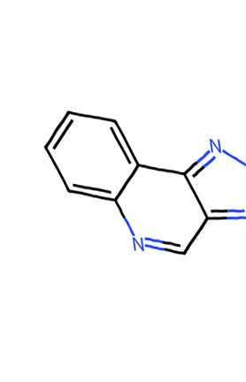 c1ccc2c(c1)ncc1n[nH]nc12